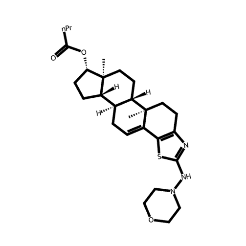 CCCC(=O)O[C@H]1CC[C@H]2[C@@H]3CC=C4c5sc(NN6CCOCC6)nc5CC[C@]4(C)[C@H]3CC[C@]12C